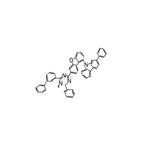 C=N/C(=N\C(=N/Cc1ccccc1)c1ccc2c(c1)oc1cccc(-n3c4ccccc4c4ccc(-c5ccccc5)cc43)c12)c1cccc(-c2ccccc2)c1